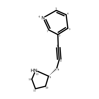 C(#Cc1cccnc1)C[C@@H]1CCCN1